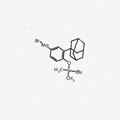 CC(C)(C)[Si](C)(C)Oc1cc[c]([Mg][Br])cc1C12CC3CC(CC(C3)C1)C2